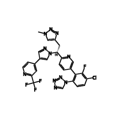 Cn1cc(C[C@H](c2ccc(-c3c(-n4cnnn4)ccc(Cl)c3F)cn2)n2cc(-c3ccnc(C(F)(F)F)c3)cn2)nn1